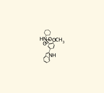 COc1ccc(-c2cc3ccccc3[nH]2)cc1S(=O)(=O)NC1CCCCC1